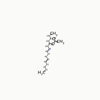 CCCCC=CCC/C=C/CC(CCCC)OC(C)=O